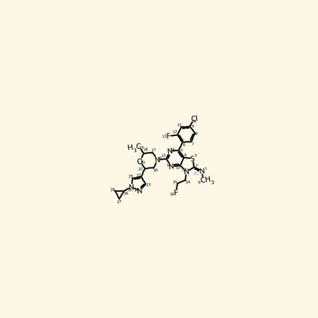 C/N=c1/sc2c(-c3ccc(Cl)cc3F)nc(N3CC(C)OC(c4cnn(C5CC5)c4)C3)nc2n1CCF